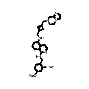 COc1ccc(CNc2nccc3c(NCC45CC(CN6CCn7ccnc7C6)(C4)C5)cccc23)c(OC)c1